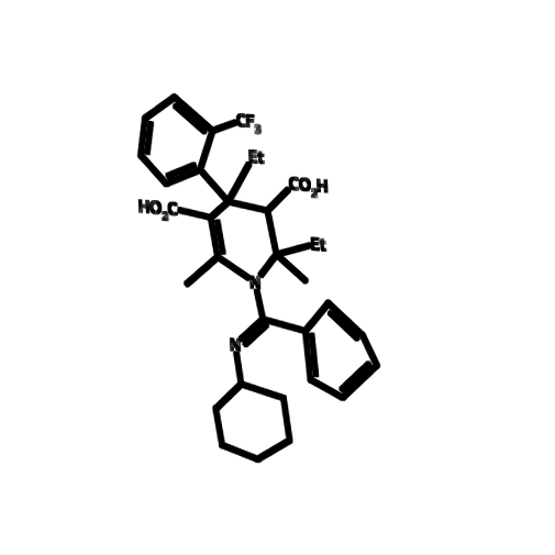 CCC1(c2ccccc2C(F)(F)F)C(C(=O)O)=C(C)N(C(=NC2CCCCC2)c2ccccc2)C(C)(CC)C1C(=O)O